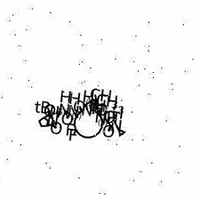 CC(C)(C)[C@@H](CN1C(=O)C2CCC(C2)C1=O)NC(=O)N[C@H]1CCC(F)(F)CCCCCC[C@@H](C(=O)C(=O)NC2CC2)NC(=O)[C@@H]2[C@@H]3[C@H](CN2C1=O)C3(C)C